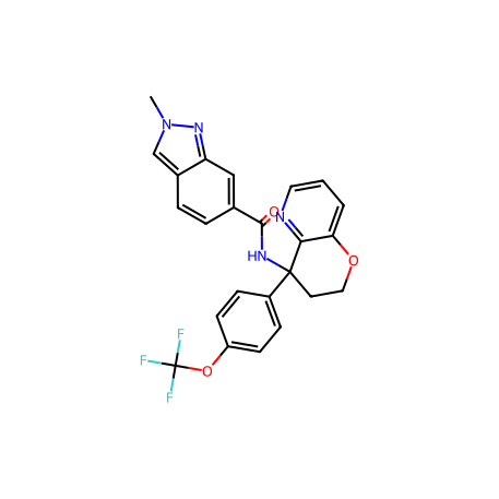 Cn1cc2ccc(C(=O)NC3(c4ccc(OC(F)(F)F)cc4)CCOc4cccnc43)cc2n1